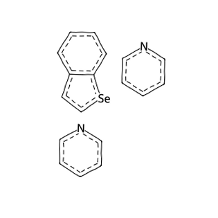 c1ccc2[se]ccc2c1.c1ccncc1.c1ccncc1